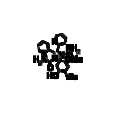 COC1=CC(C(C)(C)C)=C(O)CC1(N(Cc1ccccn1)C(N)=O)N(Cc1ccccn1)C(N)=O